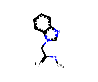 C=C(Cn1cnc2ccccc21)NC